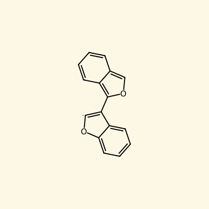 [c]1oc2ccccc2c1-c1occ2ccccc12